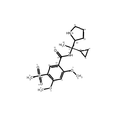 COc1cc(OC)c(S(C)(=O)=O)cc1C(=O)NC(C)(C1CC1)C1CCCN1